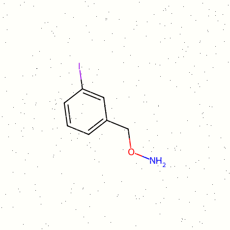 NOCc1cccc(I)c1